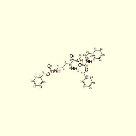 N[C@H](CCCNC(=O)OCc1ccccc1)C(=O)NC[C@H](Cc1ccccc1)NC(=O)OCc1ccccc1